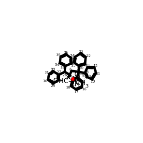 C[Si](C)(C)C([C]=O)(CC(c1ccccc1)(c1ccccc1)c1ccccc1)C(c1ccccc1)c1ccccc1